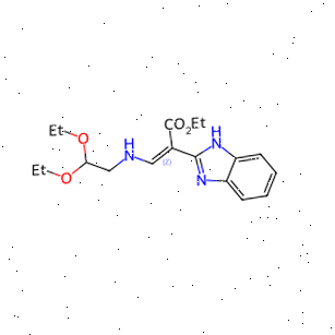 CCOC(=O)/C(=C\NCC(OCC)OCC)c1nc2ccccc2[nH]1